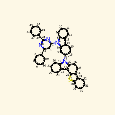 c1ccc(-c2cc(-n3c4ccccc4c4ccc(-n5c6ccccc6c6c7sc8ccccc8c7ccc65)cc43)nc(-c3ccccc3)n2)cc1